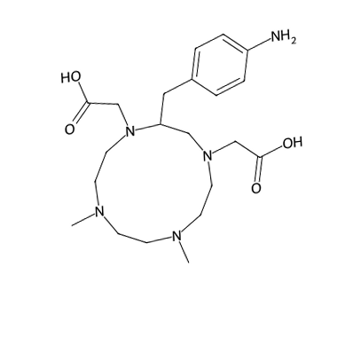 CN1CCN(C)CCN(CC(=O)O)C(Cc2ccc(N)cc2)CN(CC(=O)O)CC1